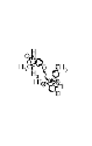 Cc1ccc(S(=O)(=O)c2c([N+](=CCCCOc3ccc4c(c3)C(C)(C)OC(=O)N4)OS)ccc(Cl)c2Cl)cc1